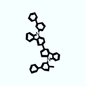 CC1C=CC(c2ccccc2)=CC1n1c2ccccc2c2cc(-c3ccc4c(c3)c3ccccc3n4-c3cccc(-c4ccccc4)c3)ccc21